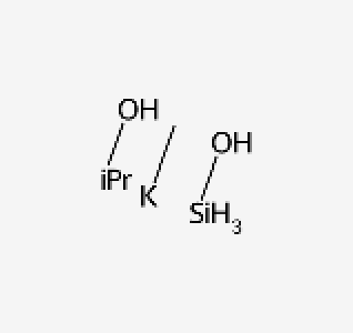 CC(C)O.O[SiH3].[CH3][K]